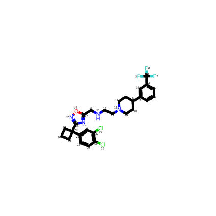 FC(F)(F)c1cccc(C2CCN(CCNCc3nc(C4(c5ccc(Cl)c(Cl)c5)CCC4)no3)CC2)c1